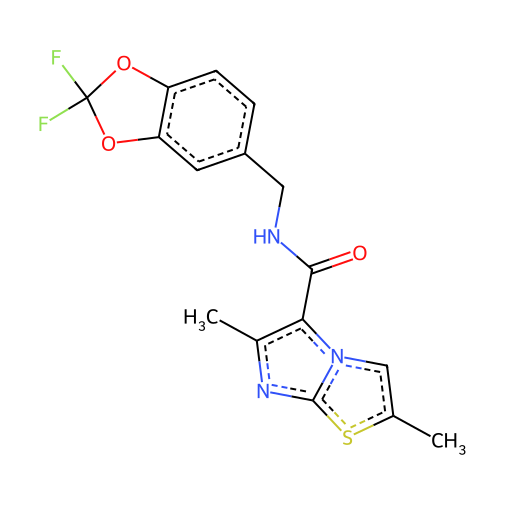 Cc1cn2c(C(=O)NCc3ccc4c(c3)OC(F)(F)O4)c(C)nc2s1